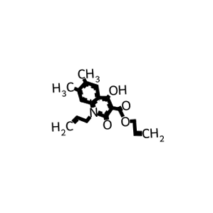 C=CCOC(=O)c1c(O)c2cc(C)c(C)cc2n(CC=C)c1=O